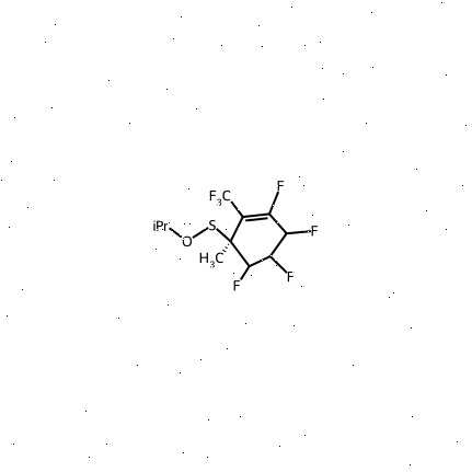 CC(C)OS[C@@]1(C)C(C(F)(F)F)=C(F)C(F)C(F)C1F